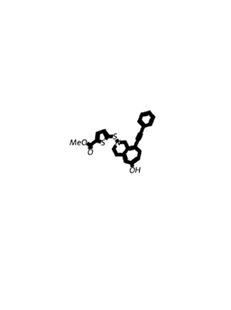 COC(=O)c1ccc(SN2CCC3=CC(O)=CCC(C#Cc4ccccc4)=C3C2)s1